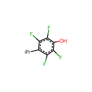 CC(C)c1c(F)c(F)c(O)c(F)c1F